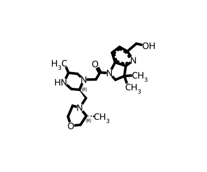 CC1CN(CC(=O)N2CC(C)(C)c3nc(CO)ccc32)[C@@H](CN2CCOC[C@H]2C)CN1